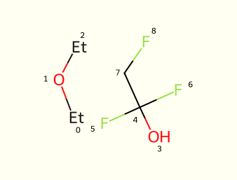 CCOCC.OC(F)(F)CF